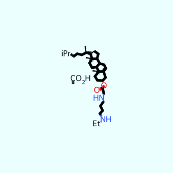 CC(=O)O.CCNCCCCNCC(=O)OC1CC[C@@]2(C)C(=CCC3C2CC[C@@]2(C)C3CC[C@@H]2[C@H](C)CCCC(C)C)C1